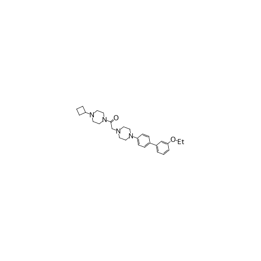 CCOc1cccc(-c2ccc(N3CCN(CC(=O)N4CCN(C5CCC5)CC4)CC3)cc2)c1